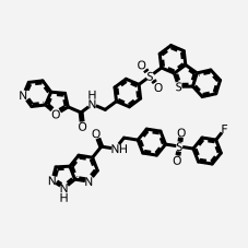 O=C(NCc1ccc(S(=O)(=O)c2cccc(F)c2)cc1)c1cnc2[nH]ncc2c1.O=C(NCc1ccc(S(=O)(=O)c2cccc3c2sc2ccccc23)cc1)c1cc2ccncc2o1